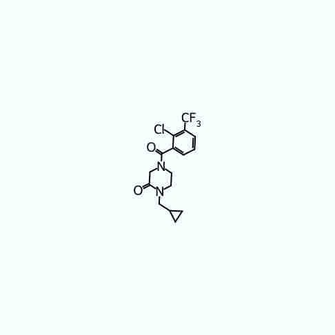 O=C1CN(C(=O)c2cccc(C(F)(F)F)c2Cl)CCN1CC1CC1